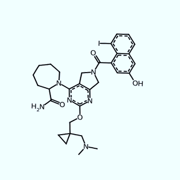 CN(C)CC1(COc2nc3c(c(N4CCCCCC4C(N)=O)n2)CN(C(=O)c2cc(O)cc4cccc(I)c24)C3)CC1